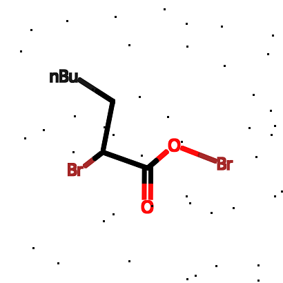 CCCCCC(Br)C(=O)OBr